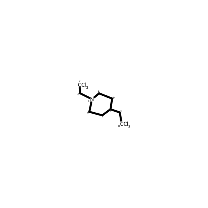 ClC(Cl)(Cl)CC1CCN(CC(Cl)(Cl)Cl)CC1